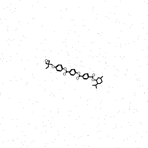 CCC1(COc2ccc(OC(=O)c3ccc(OC(=O)c4ccc(C(=O)OC5CC(C)CCC5C(C)C)cc4)cc3)cc2)COC1